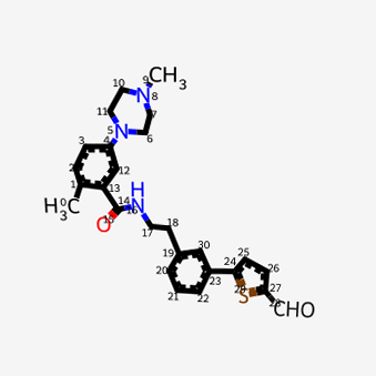 Cc1ccc(N2CCN(C)CC2)cc1C(=O)NCCc1cccc(-c2ccc(C=O)s2)c1